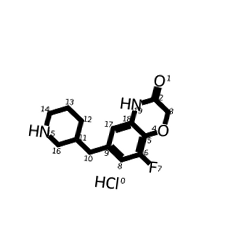 Cl.O=C1COc2c(F)cc(CC3CCCNC3)cc2N1